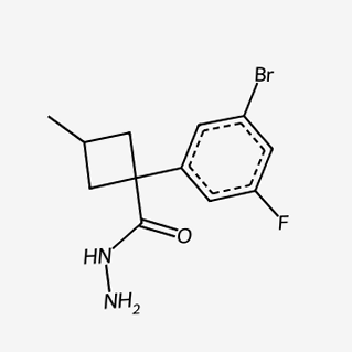 CC1CC(C(=O)NN)(c2cc(F)cc(Br)c2)C1